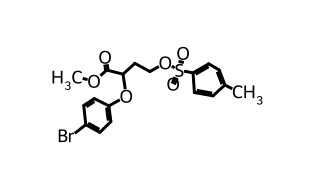 COC(=O)C(CCOS(=O)(=O)c1ccc(C)cc1)Oc1ccc(Br)cc1